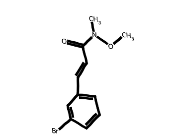 CON(C)C(=O)C=Cc1cccc(Br)c1